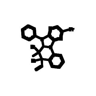 C=CC1(CC)c2ccccc2N2c3nc(C(C)C)cnc3N(c3ccccc3)C2C1(C)CC